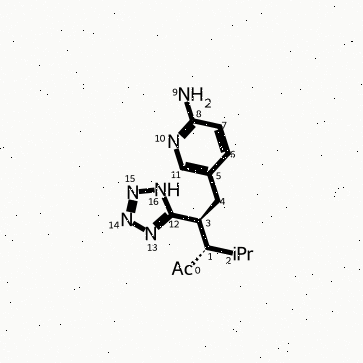 CC(=O)[C@@H](C(C)C)[C@H](Cc1ccc(N)nc1)c1nnn[nH]1